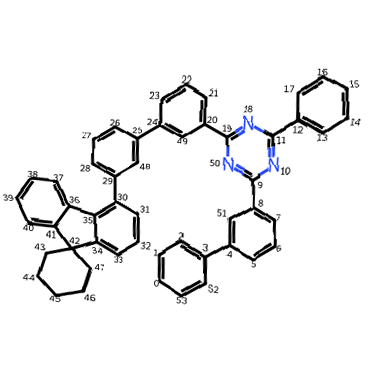 c1ccc(-c2cccc(-c3nc(-c4ccccc4)nc(-c4cccc(-c5cccc(-c6cccc7c6-c6ccccc6C76CCCCC6)c5)c4)n3)c2)cc1